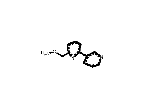 NOCc1cccc(-c2cccnc2)n1